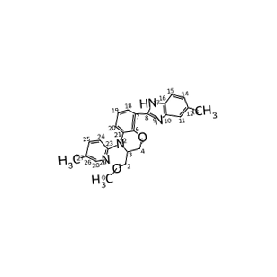 COCC1COc2c(-c3nc4cc(C)ccc4[nH]3)cccc2N1c1ccc(C)cn1